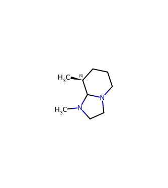 C[C@H]1CCCN2CCN(C)C12